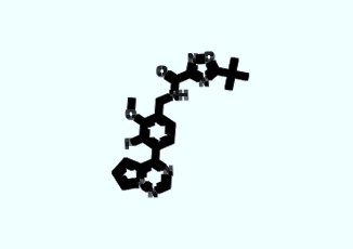 COc1c(CNC(=O)c2noc(C(C)(C)C)n2)ccc(-c2ncnn3cccc23)c1F